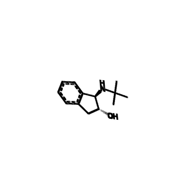 CC(C)(C)N[C@@H]1c2ccccc2C[C@H]1O